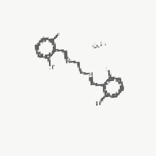 [Co+2].[O-]c1cccc(F)c1C=NCCN=Cc1c([O-])cccc1F